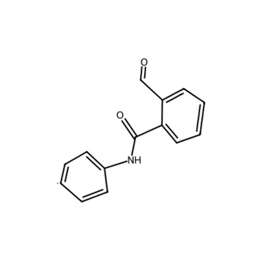 O=Cc1ccccc1C(=O)Nc1cc[c]cc1